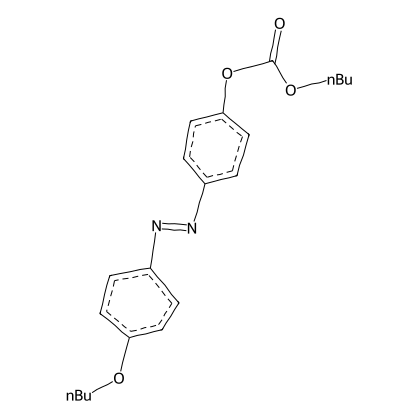 CCCCOC(=O)Oc1ccc(N=Nc2ccc(OCCCC)cc2)cc1